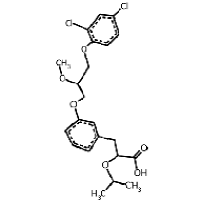 COC(COc1cccc(CC(OC(C)C)C(=O)O)c1)COc1ccc(Cl)cc1Cl